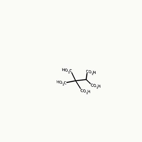 O=C(O)C(C(=O)O)C(C(=O)O)(C(=O)O)C(=O)O